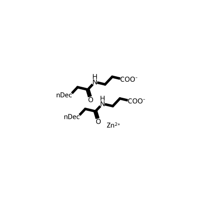 CCCCCCCCCCCC(=O)NCCC(=O)[O-].CCCCCCCCCCCC(=O)NCCC(=O)[O-].[Zn+2]